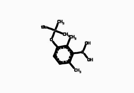 Cc1ccc(O[Si](C)(C)C(C)(C)C)c(C)c1B(O)O